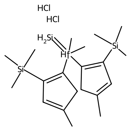 CC1=CC([Si](C)(C)C)=[C]([Hf]([CH3])([CH3])(=[SiH2])[C]2=C([Si](C)(C)C)C=C(C)C2)C1.Cl.Cl